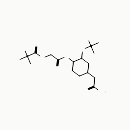 CCC(C)(C)OC1CC(CC(=O)OC)CCC1OC(=O)COC(=O)C(C)(C)CC